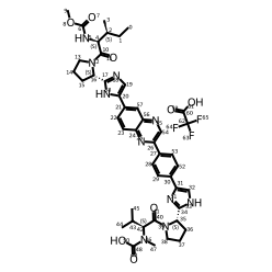 CC[C@H](C)[C@H](NC(=O)OC)C(=O)N1CCC[C@H]1c1ncc(-c2ccc3nc(-c4ccc(-c5c[nH]c([C@@H]6CCCN6C(=O)[C@H](C(C)C)N(C)C(=O)O)n5)cc4)cnc3c2)[nH]1.O=C(O)C(F)(F)F